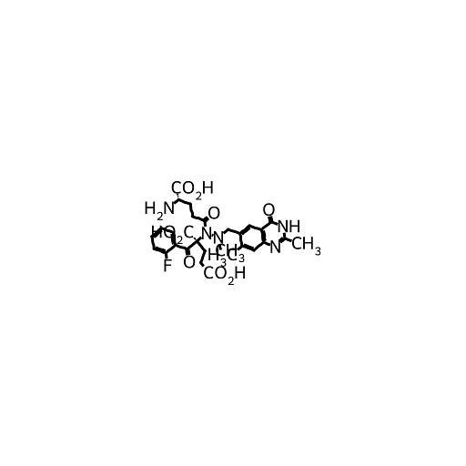 Cc1nc2cc(C)c(CN(C)N(C(=O)CC[C@H](N)C(=O)O)[C@](CCC(=O)O)(C(=O)O)C(=O)c3ccccc3F)cc2c(=O)[nH]1